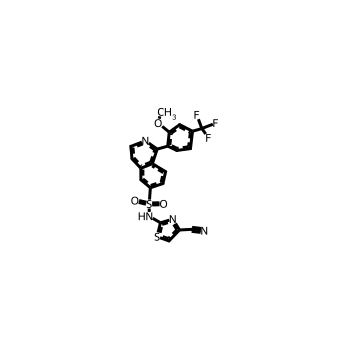 COc1cc(C(F)(F)F)ccc1-c1nccc2cc(S(=O)(=O)Nc3nc(C#N)cs3)ccc12